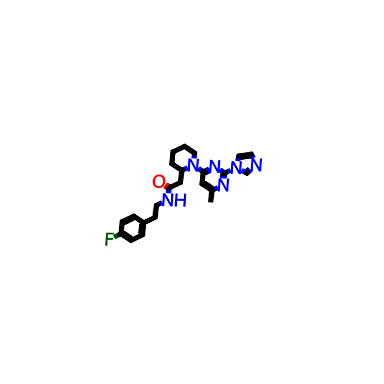 Cc1cc(N2CCCCC2CC(=O)NCCc2ccc(F)cc2)nc(-n2ccnc2)n1